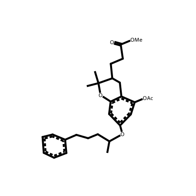 COC(=O)CCC1Cc2c(OC(C)=O)cc(OC(C)CCCc3ccccc3)cc2OC1(C)C